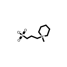 C[N+]1(CCCS(=O)(=O)[O-])CCCCC1